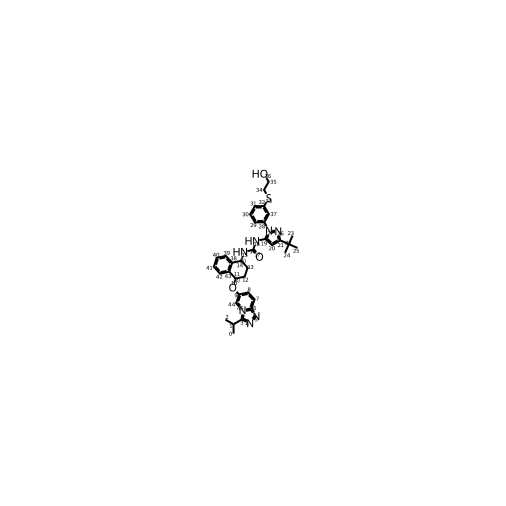 CC(C)c1nnc2ccc(O[C@@H]3CC[C@H](NC(=O)Nc4cc(C(C)(C)C)nn4-c4cccc(SCCO)c4)c4ccccc43)cn12